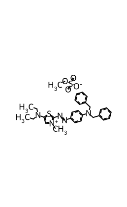 CCN(CC)c1c[n+](C)c(N=Nc2ccc(N(Cc3ccccc3)Cc3ccccc3)cc2)s1.COS(=O)(=O)[O-]